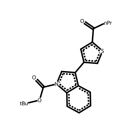 CCCC(=O)c1cc(-c2cn(C(=O)OC(C)(C)C)c3ccccc23)cs1